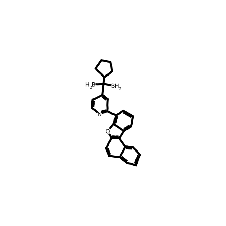 BC(B)(c1ccnc(-c2cccc3c2oc2ccc4ccccc4c23)c1)C1CCCC1